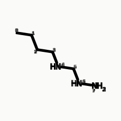 CCCCNCNN